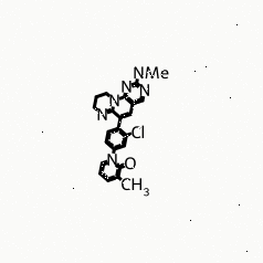 CNc1ncc2c(n1)N1CCCN=C1C(c1ccc(-n3cccc(C)c3=O)cc1Cl)=C2